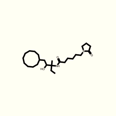 CCC(C)(NC(=O)CCCCCN1CCCC1=O)C(O)CC1CCCCCCCCC1